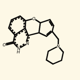 O=c1[nH]nc2c3c(cccc13)OC1C=CC(CN3CCCCC3)=CC21